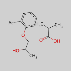 CC(=O)c1ccccc1OCC(C)O.CC(C)C(=O)O